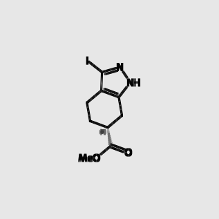 COC(=O)[C@@H]1CCc2c(I)n[nH]c2C1